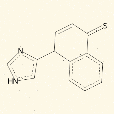 S=C1C=CC(c2c[nH]cn2)c2ccccc21